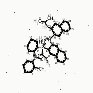 Cc1ccccc1N(C)c1ccccc1[PH](C)(c1cc2ccccc2cc1N(C)c1cc2ccccc2cc1PC(C)C)C(C)C